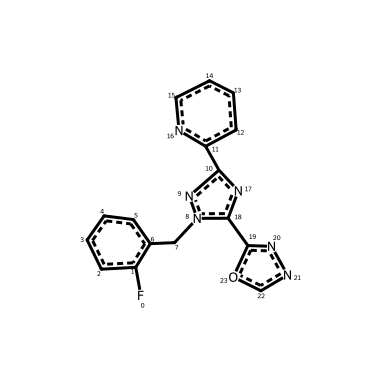 Fc1ccccc1Cn1nc(-c2ccccn2)nc1-c1nnco1